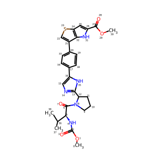 COC(=O)N[C@H](C(=O)N1CCCC1c1ncc(-c2ccc(-c3csc4cc(C(=O)OC)[nH]c34)cc2)[nH]1)C(C)C